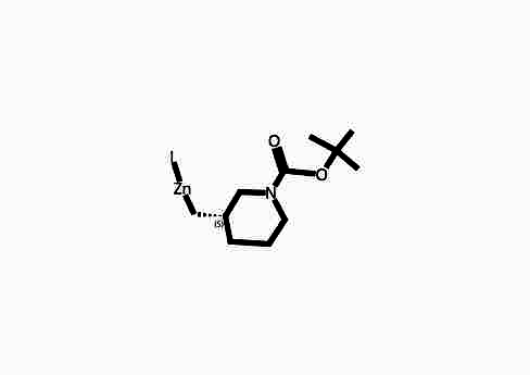 CC(C)(C)OC(=O)N1CCC[C@H]([CH2][Zn][I])C1